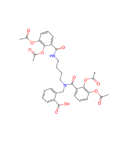 CC(=O)Oc1cccc(C(=O)NCCCCN(Cc2ccccc2C(=O)O)C(=O)c2cccc(OC(C)=O)c2OC(C)=O)c1OC(C)=O